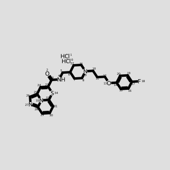 Cl.Cl.O=C(NCC1CCN(CCCOc2ccc(F)cc2)CC1)C1=Cc2cnc3cccc(n23)S1